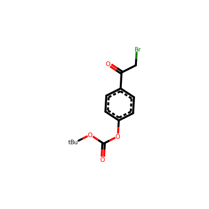 CC(C)(C)OC(=O)Oc1ccc(C(=O)CBr)cc1